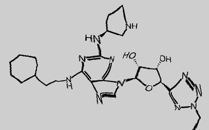 CCn1nnc([C@H]2O[C@@H](n3cnc4c(NCCC5CCCCC5)nc(N[C@H]5CCNC5)nc43)[C@H](O)[C@@H]2O)n1